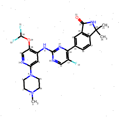 CN1CCN(c2cc(Nc3ncc(F)c(-c4ccc5c(c4)C(=O)NC5(C)C)n3)c(OC(F)F)cn2)CC1